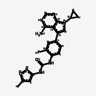 Cc1cc(NC(=O)Nc2ccc(-c3cn(C4CC4)c4ncnc(N)c34)cc2F)no1